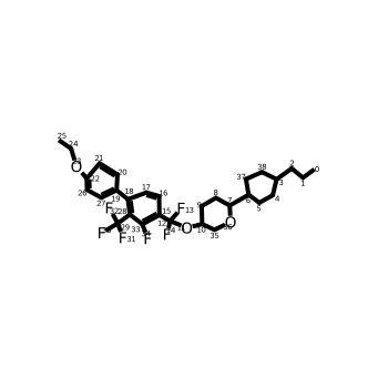 CCCC1CCC(C2CCC(OC(F)(F)c3ccc(-c4ccc(OCC)cc4)c(C(F)(F)F)c3F)CO2)CC1